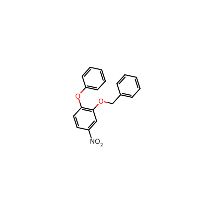 O=[N+]([O-])c1ccc(Oc2ccccc2)c(OCc2ccccc2)c1